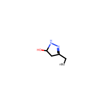 CCCCCC1=NNC(O)C1